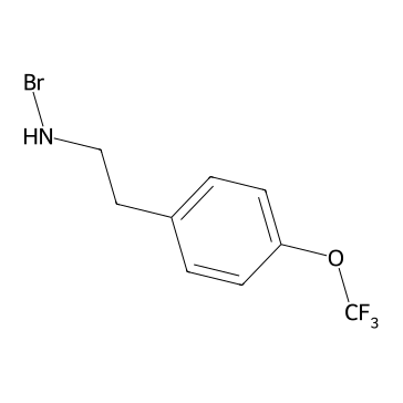 FC(F)(F)Oc1ccc(CCNBr)cc1